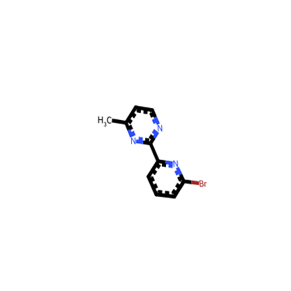 Cc1ccnc(-c2cccc(Br)n2)n1